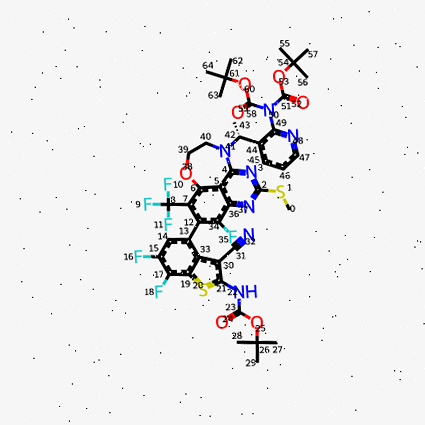 CSc1nc2c3c(c(C(F)(F)F)c(-c4cc(F)c(F)c5sc(NC(=O)OC(C)(C)C)c(C#N)c45)c(F)c3n1)OCCN2[C@H](C)c1cccnc1N(C(=O)OC(C)(C)C)C(=O)OC(C)(C)C